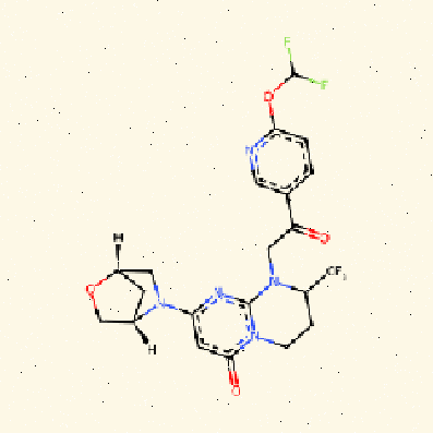 O=C(CN1c2nc(N3C[C@@H]4C[C@H]3CO4)cc(=O)n2CCC1C(F)(F)F)c1ccc(OC(F)F)nc1